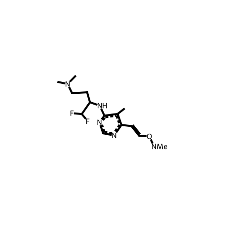 CNO/C=C/c1ncnc(NC(CCN(C)C)C(F)F)c1C